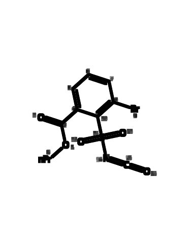 CCCOC(=O)c1cccc(Br)c1S(=O)(=O)N=C=O